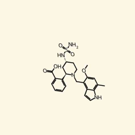 COc1cc(C)c2[nH]ccc2c1CN1CC[C@@H](NS(N)(=O)=O)C[C@@H]1c1ccccc1C(=O)O